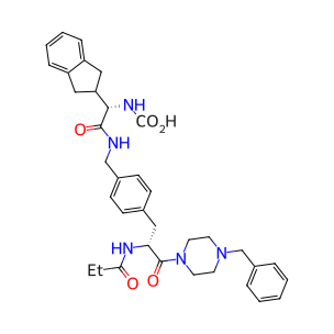 CCC(=O)N[C@H](Cc1ccc(CNC(=O)[C@@H](NC(=O)O)C2Cc3ccccc3C2)cc1)C(=O)N1CCN(Cc2ccccc2)CC1